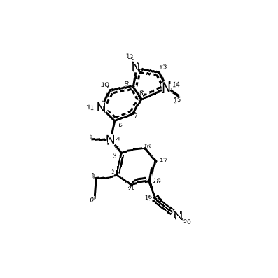 CCC1=C(N(C)c2cc3c(cn2)ncn3C)CCC(C#N)=C1